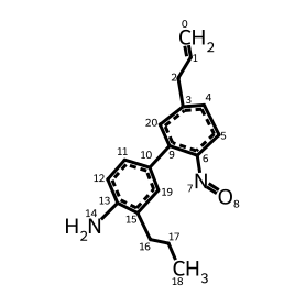 C=CCc1ccc(N=O)c(-c2ccc(N)c(CCC)c2)c1